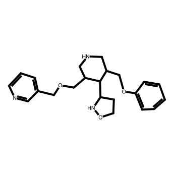 c1ccc(OCC2CNCC(COCc3cccnc3)C2C2CCON2)cc1